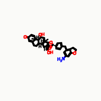 C[C@]12C=CC(=O)C=C1CC[C@@H]1[C@@H]2[C@@H](O)C[C@@]2(C)[C@H]1C[C@H]1O[C@@H](c3ccc(Cc4cc(N)cc5c4CCO5)cc3)O[C@]12C(=O)CO